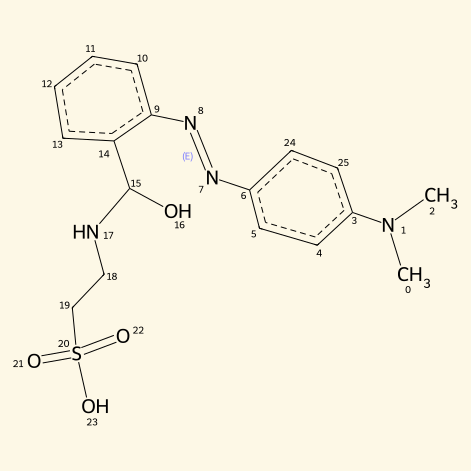 CN(C)c1ccc(/N=N/c2ccccc2C(O)NCCS(=O)(=O)O)cc1